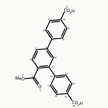 COC(=O)c1[c]cc(-c2ccc(C(=O)O)cc2)cc1-c1ccc(C(=O)O)cc1